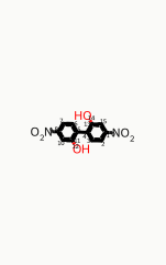 O=[N+]([O-])c1ccc(-c2ccc([N+](=O)[O-])cc2O)c(O)c1